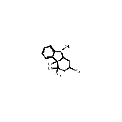 CN1c2ccccc2C2(C)C1CC(N)CC2(C)C